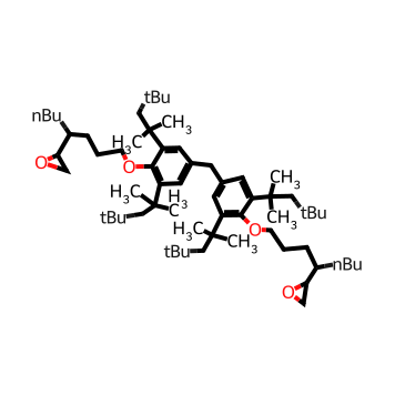 CCCCC(CCCOc1c(C(C)(C)CC(C)(C)C)cc(Cc2cc(C(C)(C)CC(C)(C)C)c(OCCCC(CCCC)C3CO3)c(C(C)(C)CC(C)(C)C)c2)cc1C(C)(C)CC(C)(C)C)C1CO1